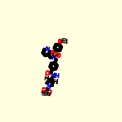 CCOc1ccc(S(=O)(=O)N(Cc2ccc(C(=O)N[C@H]3[C@@H]4CN(C(=O)OC(C)(C)C)C[C@@H]43)cc2)Cc2cccnc2)cc1